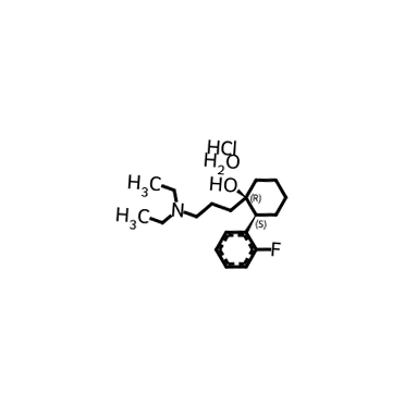 CCN(CC)CCC[C@]1(O)CCCC[C@H]1c1ccccc1F.Cl.O